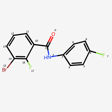 O=C(Nc1ccc(F)cc1)c1cccc(Br)c1F